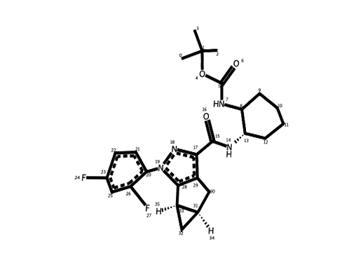 CC(C)(C)OC(=O)NC1CCCC[C@@H]1NC(=O)c1nn(-c2ccc(F)cc2F)c2c1C[C@H]1C[C@@H]21